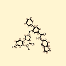 COC(=O)[C@H]1CN(Cc2cc(C(=O)Nc3ccc4sccc4n3)ccc2-c2ccccc2)C[C@@H]1c1ccc(Cl)cc1